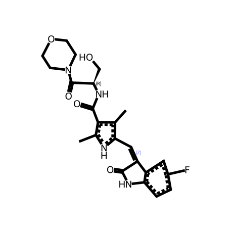 Cc1[nH]c(/C=C2\C(=O)Nc3ccc(F)cc32)c(C)c1C(=O)N[C@H](CO)C(=O)N1CCOCC1